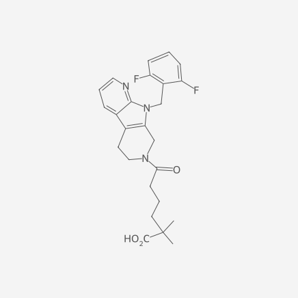 CC(C)(CCCC(=O)N1CCc2c(n(Cc3c(F)cccc3F)c3ncccc23)C1)C(=O)O